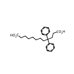 O=C(O)CCCCCCCC(CCC(=O)O)(c1ccccc1)c1ccccc1